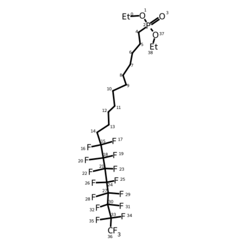 CCOP(=O)(CCCCCCCCCCCC(F)(F)C(F)(F)C(F)(F)C(F)(F)C(F)(F)C(F)(F)C(F)(F)C(F)(F)F)OCC